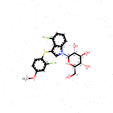 COc1ccc(Sc2cn([C@@H]3O[C@H](CO)[C@@H](O)[C@H](O)[C@H]3O)c3cccc(F)c23)c(F)c1